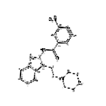 O=C(Nc1nc2ccccc2n1CCN1CCOCC1)c1cc#cc([N+](=O)[O-])c1